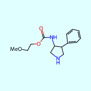 COCCOC(=O)NC1CNCC1c1ccccc1